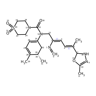 C=N/C(=C\C=C(/C)C1NN=C(C)O1)CN(C(=O)N1CCS(=O)(=O)CC1)C1=CC=C(C)[C@@H](C)C1